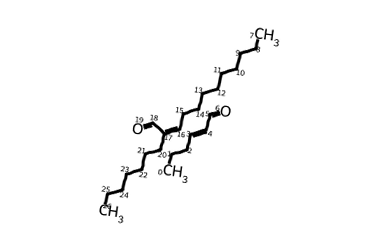 CCCC=CC=O.CCCCCCCCCC=C(C=O)CCCCCCC